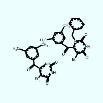 CCc1c(C(=O)c2cc(C)cc(C)c2)[nH]c(=O)[nH]c1=O.CCc1c(C(=O)c2cc(C)cc(C)c2)n(Cc2ccccc2)c(=O)[nH]c1=O